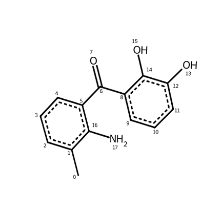 Cc1cccc(C(=O)c2cccc(O)c2O)c1N